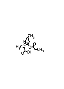 CCC(=O)O.CCC(=O)OC(C)COC